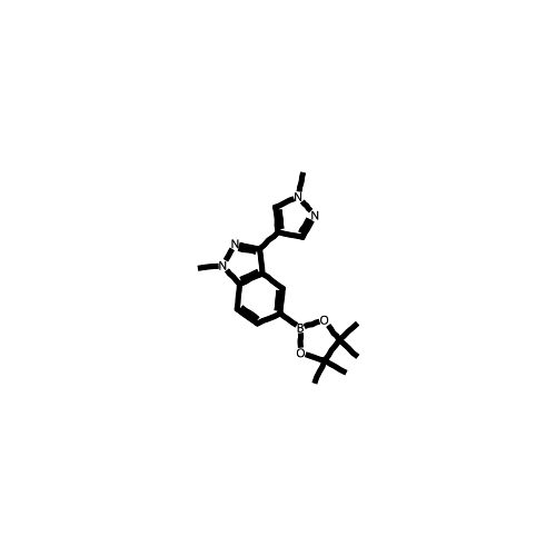 Cn1cc(-c2nn(C)c3ccc(B4OC(C)(C)C(C)(C)O4)cc23)cn1